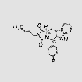 CCCCN1C(=O)[C@H]2Cc3c([nH]c4ccccc34)[C@H](c3ccc(F)cc3)N2C1=O